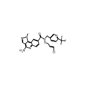 Cn1ncc2c(N)nc3ccc(C(=O)N(Cc4ccc(C(F)(F)F)nc4)OC/C=C/Cl)cc3c21